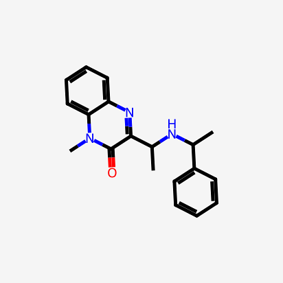 CC(NC(C)c1nc2ccccc2n(C)c1=O)c1ccccc1